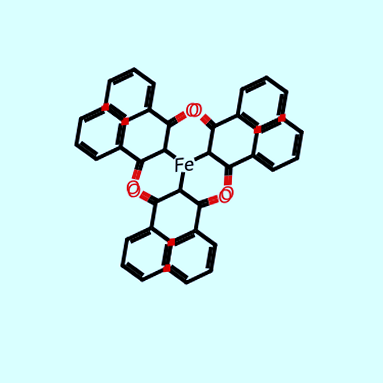 O=C(c1ccccc1)[CH](C(=O)c1ccccc1)[Fe]([CH](C(=O)c1ccccc1)C(=O)c1ccccc1)[CH](C(=O)c1ccccc1)C(=O)c1ccccc1